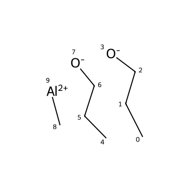 CCC[O-].CCC[O-].[CH3][Al+2]